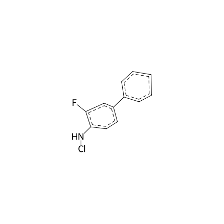 Fc1cc(-c2ccccc2)ccc1NCl